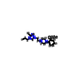 C=CCN1CN(CCN2CCN(c3ccccc3OC)CC2)N=C1C